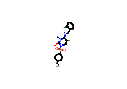 CCc1ccc(S(=O)(=O)n2cc(F)/c(=N\Cc3ccccc3F)n(C)c2=O)cc1